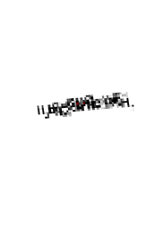 N=C(N)Nc1ccc(NC(=O)C23CCC(C(=O)Nc4ccc(C5=CCN(C(=N)N)CC5)cc4)(CC2)CC3)cc1